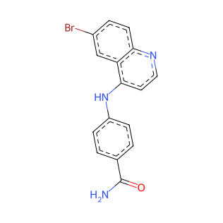 NC(=O)c1ccc(Nc2ccnc3ccc(Br)cc23)cc1